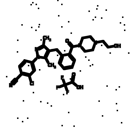 Cc1nn(-c2ccc(C#N)c(Cl)c2)c(C)c1Cc1ccccc1C(=O)N1CCN(CCO)CC1.O=C(O)C(F)(F)F